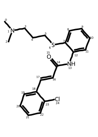 CN(C)CCCSc1ccccc1NC(=O)C=Cc1ccccc1Cl